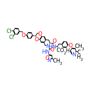 Cc1cc(NC(=O)N2Cc3cc4c(cc3C[C@H]2C(=O)N[C@@H](Cc2ccc(Oc3ccnc(C)c3C)cc2)C(=O)O)OC[C@H](c2ccc(OCc3ccc(Cl)c(Cl)c3)cc2)O4)on1